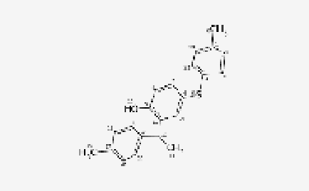 Cc1ccc(Sc2ccc(O)c(C(C)c3ccc(C)cc3)c2)cc1